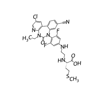 CCN1C(=O)N(c2c(F)cc(NCCN[C@@H](CCSC)C(=O)O)cc2F)c2cc(C#N)ccc2-c2cc(Cl)cnc21